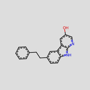 Oc1cnc2[nH]c3ccc(CCc4ccccc4)cc3c2c1